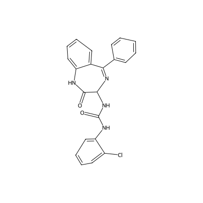 O=C(Nc1ccccc1Cl)NC1N=C(c2ccccc2)c2ccccc2NC1=O